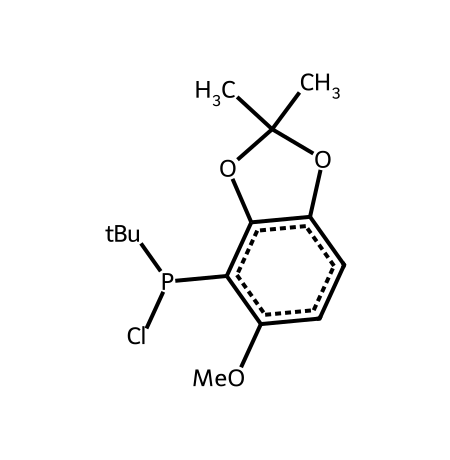 COc1ccc2c(c1P(Cl)C(C)(C)C)OC(C)(C)O2